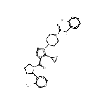 O=C(c1cnn(C2CCN(C(=O)Nc3ccccc3F)CC2)c1C1CC1)C1CCCN1c1ccccc1C(F)(F)F